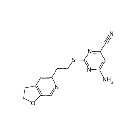 N#Cc1cc(N)nc(SCCc2cc3c(cn2)OCC3)n1